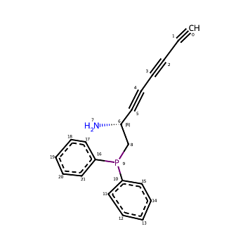 C#CC#CC#C[C@@H](N)CP(c1ccccc1)c1ccccc1